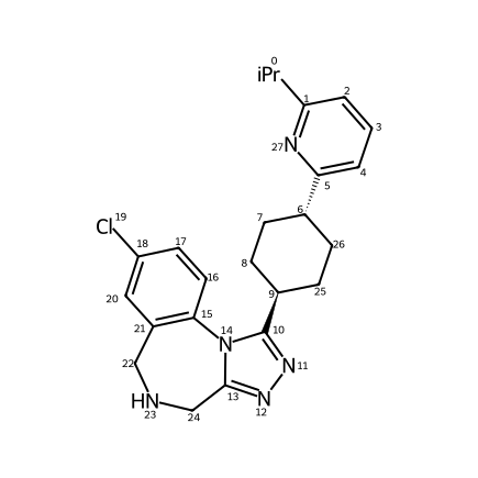 CC(C)c1cccc([C@H]2CC[C@H](c3nnc4n3-c3ccc(Cl)cc3CNC4)CC2)n1